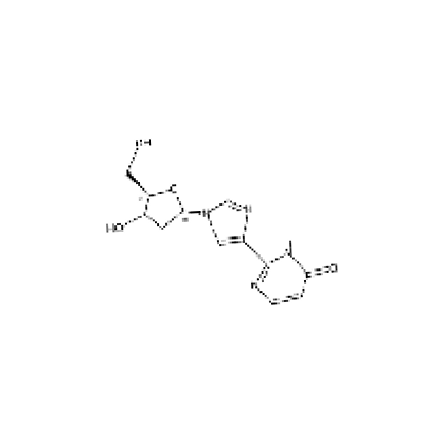 O=c1ccnc(-c2cn([C@H]3CC(O)[C@@H](CO)O3)cn2)[nH]1